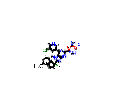 C[C@H]1CC[C@H](Cn2c(C3(F)CCCC3)nc3nc(C(=N)OC(N)=O)nc(-c4cncc(Cl)c4)c32)CC1